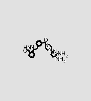 Nc1ccc(N2CCN(C(=O)c3cccc(Cc4n[nH]c(=O)c5ccccc45)c3)CC2)nc1N